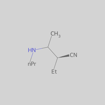 CCCNC(C)[C@@H](C#N)CC